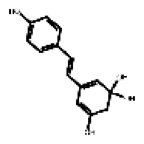 OC1=CC(C=Cc2ccc(O)cc2)=CC(O)(O)C1